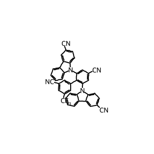 N#Cc1cc(-c2c(-n3c4ccccc4c4cc(C#N)ccc43)cc(C#N)cc2-n2c3ccccc3c3cc(C#N)ccc32)cc(C(F)(F)F)c1